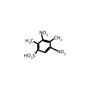 Cc1c([N+](=O)[O-])cc(S(=O)(=O)O)c(C)c1[N+](=O)[O-]